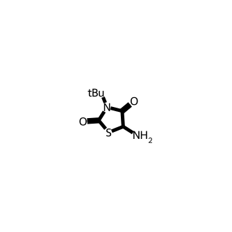 CC(C)(C)N1C(=O)SC(N)C1=O